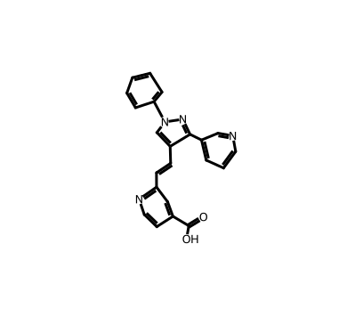 O=C(O)c1ccnc(C=Cc2cn(-c3ccccc3)nc2-c2cccnc2)c1